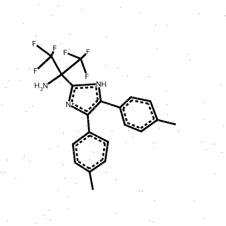 Cc1ccc(-c2nc(C(N)(C(F)(F)F)C(F)(F)F)[nH]c2-c2ccc(C)cc2)cc1